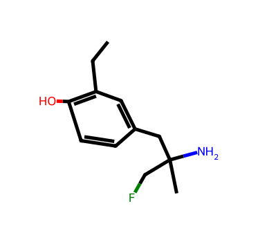 CCc1cc(CC(C)(N)CF)ccc1O